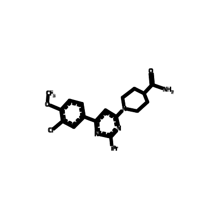 CC(C)c1nc(-c2ccc(OC(F)(F)F)c(Cl)c2)cc(N2CCC(C(N)=O)CC2)n1